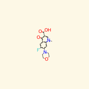 Cn1cc(C(=O)O)c(=O)c2cc(F)c(N3CCOCC3)cc21